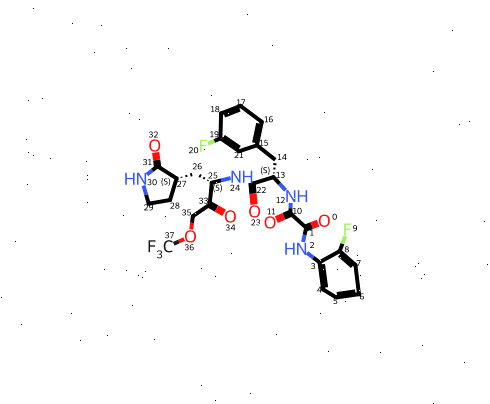 O=C(Nc1ccccc1F)C(=O)N[C@@H](Cc1cccc(F)c1)C(=O)N[C@@H](C[C@@H]1CCNC1=O)C(=O)COC(F)(F)F